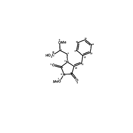 COC(CN1C(=O)N(OC)C(=O)C1=Cc1ccccc1)C(=O)O